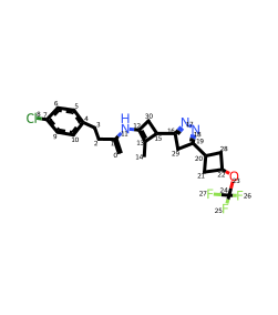 C=C(CCc1ccc(Cl)cc1)NC1=C(C)C(C2=NN=C(C3CC(OC(F)(F)F)C3)C2)C1